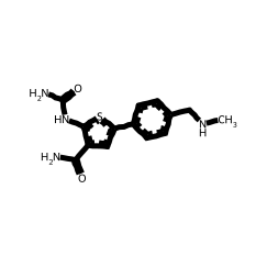 CNCc1ccc(-c2cc(C(N)=O)c(NC(N)=O)s2)cc1